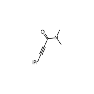 CC(C)C#CC(=O)N(C)C